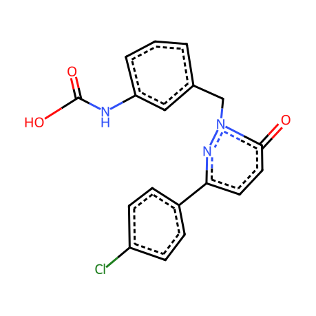 O=C(O)Nc1cccc(Cn2nc(-c3ccc(Cl)cc3)ccc2=O)c1